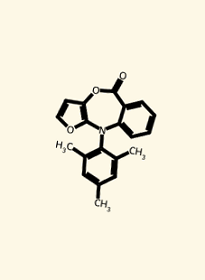 Cc1cc(C)c(N2c3ccccc3C(=O)Oc3ccoc32)c(C)c1